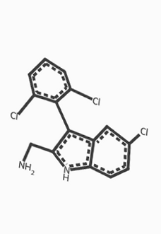 NCc1[nH]c2ccc(Cl)cc2c1-c1c(Cl)cccc1Cl